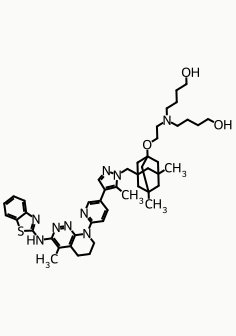 Cc1c(Nc2nc3ccccc3s2)nnc2c1CCCN2c1ccc(-c2cnn(CC34CC5(C)CC(C)(C3)CC(OCCN(CCCCO)CCCCO)(C5)C4)c2C)cn1